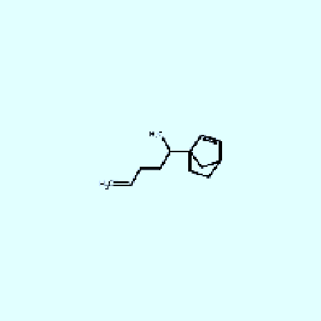 C=CCCC(C)C12C=CC(CC1)C2